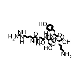 N=C(N)NCCC[C@H](N)C(=O)NCC(=O)N[C@@H](CC(=O)O)C(=O)N[C@H](Cc1ccc(O)cc1)C(=O)N[C@@H](CCCCN)C(=O)O